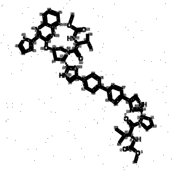 COC(=O)N[C@H](C(=O)N1CCC[C@H]1c1nc(-c2ccc(-c3ccc(-c4c[nH]c([C@@H]5C[C@@H](Oc6nc7ccccc7nc6-c6cccs6)CN5C(=O)[C@@H](NC(=O)OC)C(C)C)n4)cc3)cc2)c[nH]1)C(C)C